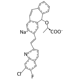 C[C@@H](OC1c2ccccc2C=Cc2ccc(C=Cc3ccc4cc(F)c(Cl)cc4n3)cc21)C(=O)[O-].[Na+]